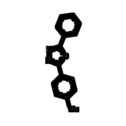 CC(C)(C)c1ccc(-c2nnc(-c3cc[c]cc3)o2)cc1